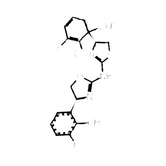 CC1=C(F)C=CCC1(C)[C@H]1COC(NC2=N[C@@H](c3cccc(F)c3C)CO2)=N1